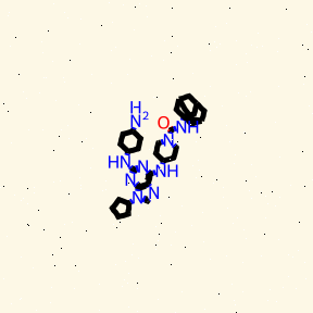 NC1CCC(Nc2nc(NC3CCN(C(=O)NC45CC6CC(CC(C6)C4)C5)CC3)c3ncn(C4CCCC4)c3n2)CC1